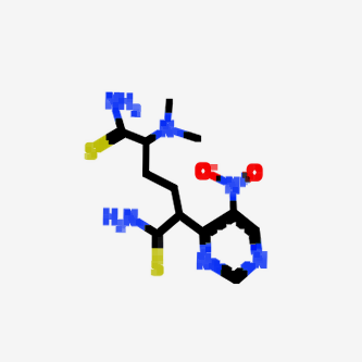 CN(C)C(CCC(C(N)=S)c1ncncc1[N+](=O)[O-])C(N)=S